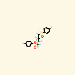 O=S(=O)(c1ccc(F)cc1)C(F)C(F)(F)C(F)(F)C(F)(F)S(=O)(=O)c1ccc(F)cc1